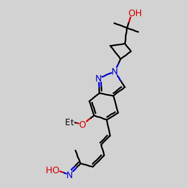 CCOc1cc2nn(C3CC(C(C)(C)O)C3)cc2cc1/C=C/C=C\C(C)=N\O